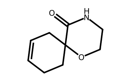 O=C1NCCOC12CC=CCC2